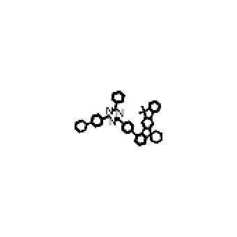 CC1(C)c2ccccc2C2C=C3C(=CC21)c1c(-c2ccc(-c4nc(-c5ccccc5)nc(-c5ccc(C6C=CC=CC6)cc5)n4)cc2)cccc1C31CCCCC1